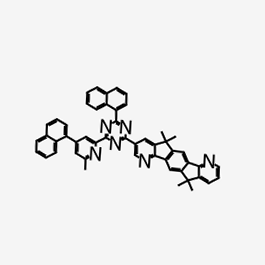 Cc1cc(-c2cccc3ccccc23)cc(-c2nc(-c3cnc4c(c3)C(C)(C)c3cc5c(cc3-4)C(C)(C)c3cccnc3-5)nc(-c3cccc4ccccc34)n2)n1